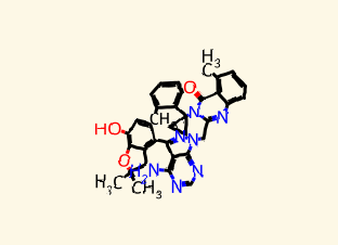 Cc1ccccc1C1(n2c(Cn3nc(-c4ccc(O)c5c4CC(C)(C)O5)c4c(N)ncnc43)nc3cccc(C)c3c2=O)CC1